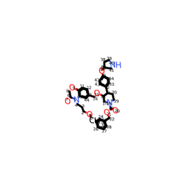 COCCCN1C(=O)COc2ccc(COC3CN(C(=O)OCc4ccccc4)CCC3c3ccc(O[C@H]4CCNC4)cc3)cc21